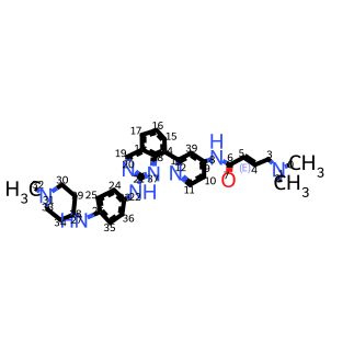 CN(C)C/C=C/C(=O)Nc1ccnc(-c2cccc3cnc(Nc4ccc(NC5CCN(C)CC5)cc4)nc23)c1